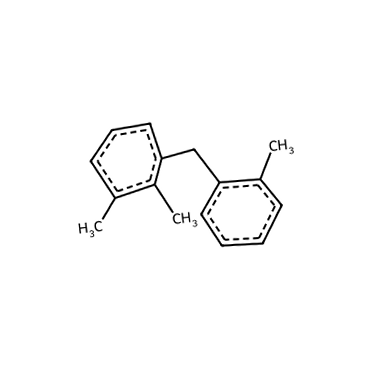 Cc1ccccc1Cc1cccc(C)c1C